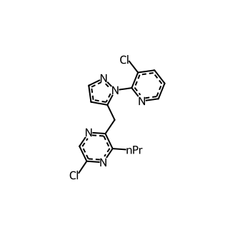 CCCc1nc(Cl)cnc1Cc1ccnn1-c1ncccc1Cl